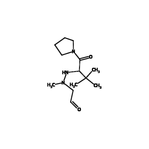 CN(CC=O)NC(C(=O)N1CCCC1)C(C)(C)C